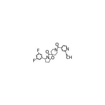 C#Cc1cc(C(=O)N2CCC3(CC2)OC2CCC(c4cc(F)cc(F)c4)N2C3=O)ccn1